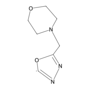 [c]1nnc(CN2CCOCC2)o1